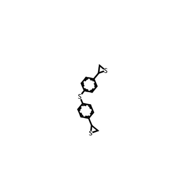 c1cc(C2CS2)ccc1Sc1ccc(C2CS2)cc1